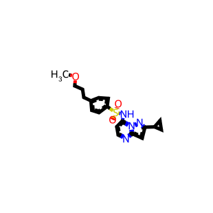 COCCCc1ccc(S(=O)(=O)Nc2ccnc3cc(C4CC4)nn23)cc1